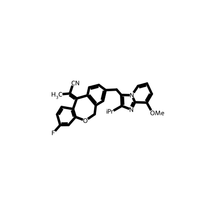 COc1cccn2c(Cc3ccc4c(c3)COc3cc(F)ccc3/C4=C(\C)C#N)c(C(C)C)nc12